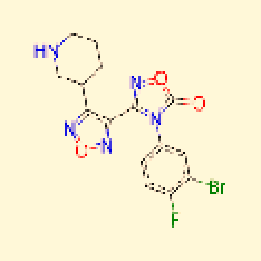 O=c1onc(-c2nonc2C2CCCNC2)n1-c1ccc(F)c(Br)c1